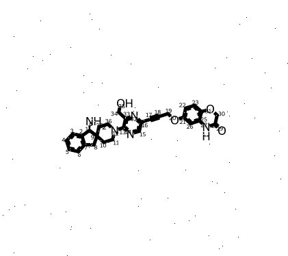 N[C@@H]1c2ccccc2CC12CCN(c1ncc(C#CCOc3ccc4c(c3)NC(=O)CO4)nc1CO)CC2